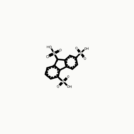 O=S(=O)(O)c1ccc2c(c1)C(S(=O)(=O)O)c1cccc(S(=O)(=O)O)c1-2